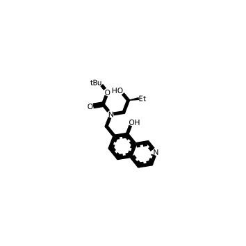 CC[C@H](O)CN(Cc1ccc2ccncc2c1O)C(=O)OC(C)(C)C